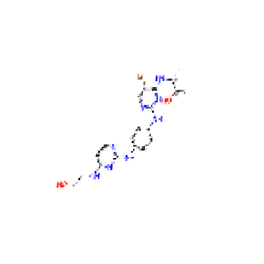 C[C@@H](O)[C@@H](C)Nc1nc(Nc2ccc(Nc3nccc(NCCO)n3)cc2)ncc1Br